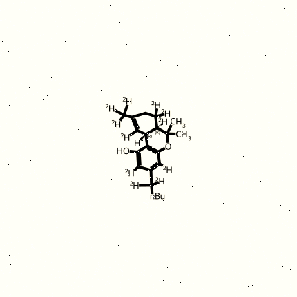 [2H]C1=C(C([2H])([2H])[2H])CC([2H])([2H])[C@]2([2H])[C@@H]1c1c(O)c([2H])c(C([2H])([2H])CCCC)c([2H])c1OC2(C)C